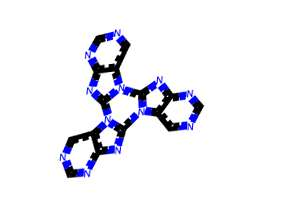 c1ncc2c(n1)nc1n2c2nc3ncncc3n2c2nc3ncncc3n12